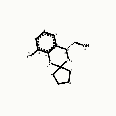 OC[C@@H]1OC2(CCCC2)Oc2c(Cl)cccc21